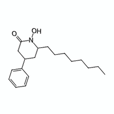 CCCCCCCCC1CC(c2ccccc2)CC(=O)N1O